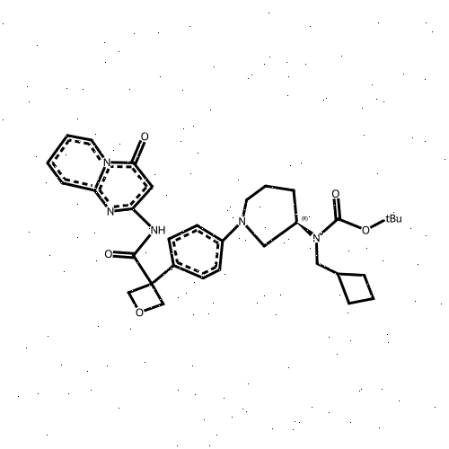 CC(C)(C)OC(=O)N(CC1CCC1)[C@@H]1CCCN(c2ccc(C3(C(=O)Nc4cc(=O)n5ccccc5n4)COC3)cc2)C1